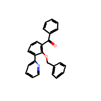 O=C(c1ccccc1)c1cccc(-c2ccccn2)c1OCc1ccccc1